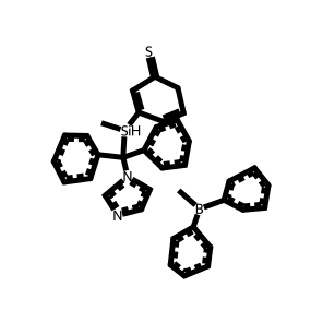 CB(c1ccccc1)c1ccccc1.C[SiH](C1=CC(=S)CC=C1)C(c1ccccc1)(c1ccccc1)n1ccnc1